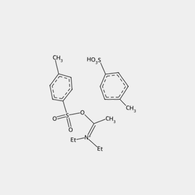 CC[N+](CC)=C(C)OS(=O)(=O)c1ccc(C)cc1.Cc1ccc(S(=O)(=O)O)cc1